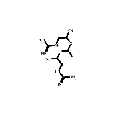 CC(OC(C#N)CNC(=N)N)OC(C#N)CNC(=N)N